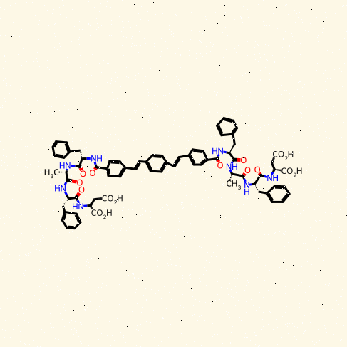 C[C@H](NC(=O)[C@H](Cc1ccccc1)NC(=O)c1ccc(/C=C/c2ccc(/C=C/c3ccc(C(=O)N[C@@H](Cc4ccccc4)C(=O)N[C@@H](C)C(=O)N[C@@H](Cc4ccccc4)C(=O)N[C@@H](CC(=O)O)C(=O)O)cc3)cc2)cc1)C(=O)N[C@@H](Cc1ccccc1)C(=O)N[C@@H](CC(=O)O)C(=O)O